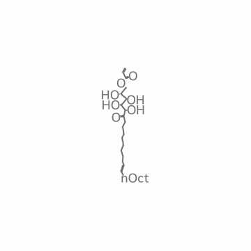 C=CC(=O)OC[C@@H](O)[C@@H](O)[C@H](O)[C@@H](O)C(=O)CCCCCCCCC=CCCCCCCCC